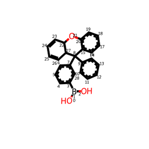 OB(O)c1cccc(C2(c3ccccc3)c3ccccc3OC3C=CC=CC32)c1